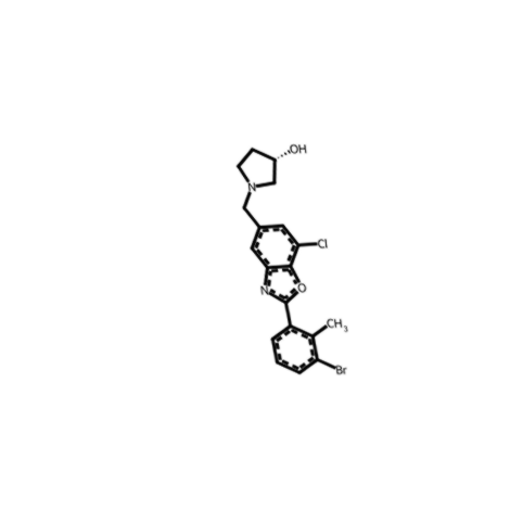 Cc1c(Br)cccc1-c1nc2cc(CN3CC[C@H](O)C3)cc(Cl)c2o1